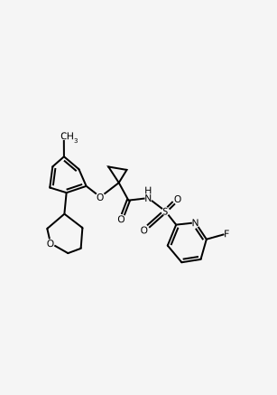 Cc1ccc(C2CCCOC2)c(OC2(C(=O)NS(=O)(=O)c3cccc(F)n3)CC2)c1